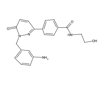 Nc1cccc(Cn2nc(-c3ccc(C(=O)NCCO)cc3)ccc2=O)c1